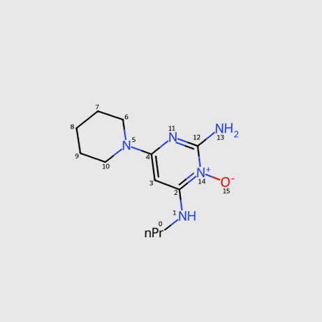 CCCNc1cc(N2CCCCC2)nc(N)[n+]1[O-]